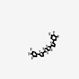 Fc1cc(-c2ccc(-c3nc4sc(-c5ccc(-c6cc(F)c(F)c(F)c6)s5)nc4s3)s2)cc(F)c1F